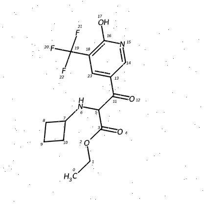 CCOC(=O)C(NC1CCC1)C(=O)c1cnc(O)c(C(F)(F)F)c1